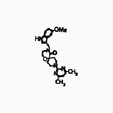 COc1ccc2[nH]cc(CN3CCOC4(CCN(c5nc(C)cc(C)n5)CC4)C3=O)c2c1